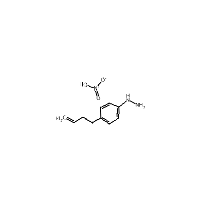 C=CCCc1ccc(NN)cc1.O=[N+]([O-])O